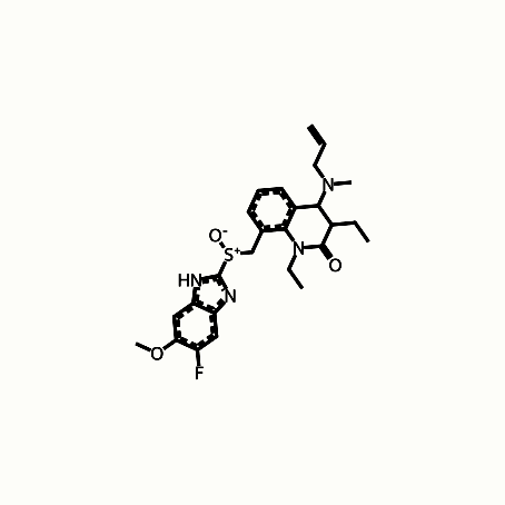 C=CCN(C)C1c2cccc(C[S+]([O-])c3nc4cc(F)c(OC)cc4[nH]3)c2N(CC)C(=O)C1CC